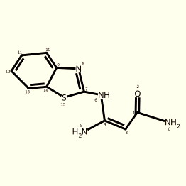 NC(=O)/C=C(/N)Nc1nc2ccccc2s1